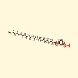 CCCCCCCCCCCCCCCCCCCCCCCCCOc1cccc(O)c1